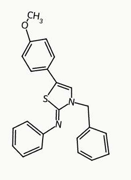 COc1ccc(-c2cn(Cc3ccccc3)c(=Nc3ccccc3)s2)cc1